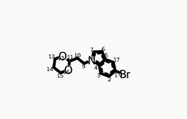 Brc1ccc2c(ccn2CCC2OCCCO2)c1